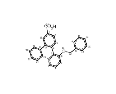 O=S(=O)(O)c1ccc(-c2ccccc2OCc2ccccc2)c(-c2ccccc2)c1